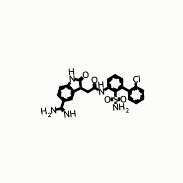 N=C(N)c1ccc2c(c1)C(CC(=O)Nc1cccc(-c3ccccc3Cl)c1S(N)(=O)=O)C(=O)N2